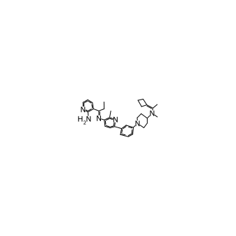 CC/C(=N\c1ccc(-c2cccc(N3CCC(N(C)C(C)=C4CCC4)CC3)c2)nc1C)c1cccnc1N